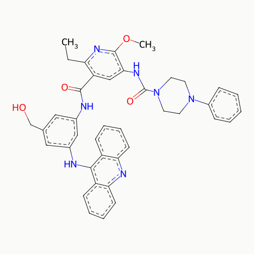 CCc1nc(OC)c(NC(=O)N2CCN(c3ccccc3)CC2)cc1C(=O)Nc1cc(CO)cc(Nc2c3ccccc3nc3ccccc23)c1